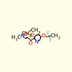 CCS(=O)(=O)C(=CN(C)C)C(=O)c1ccc(OCC(C)(F)F)cn1